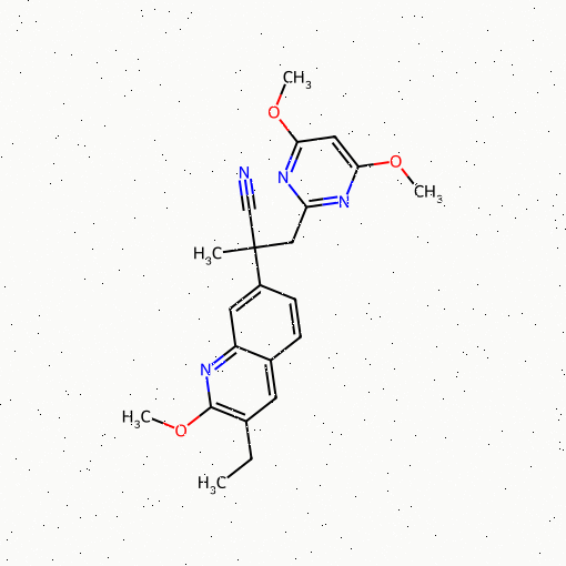 CCc1cc2ccc(C(C)(C#N)Cc3nc(OC)cc(OC)n3)cc2nc1OC